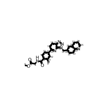 COC(=O)CNC(=O)c1ccc(-c2ccc3nnn(Cc4ccc5ncccc5c4)c3n2)cc1F